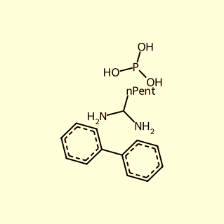 CCCCCC(N)N.OP(O)O.c1ccc(-c2ccccc2)cc1